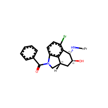 CCCN[C@H]1c2c(Br)ccc3c2[C@H](C[C@@H]1O)CN3C(=O)c1ccccc1